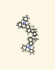 Cc1ccccc1N(c1ccccc1)c1ccc2c3c(ccc2c1)-c1c(ccc2c1-c1ccc4cc(N(c5ccccc5)c5ccccc5C)ccc4c1C2(C)C)C3(C)C